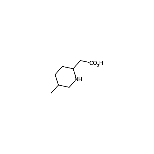 CC1CCC(CC(=O)O)NC1